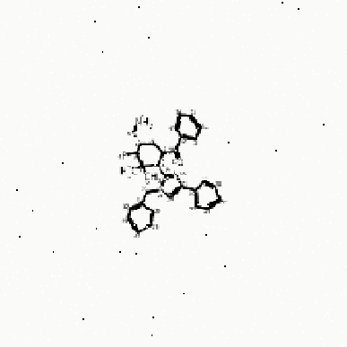 CC1(C)C(F)[C@H](CN)CC(C(=O)c2ccccc2)[C@H]1c1nc(-c2ccccc2)cn1Cc1ccccc1